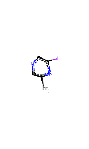 FC(F)(F)c1cncc(I)n1